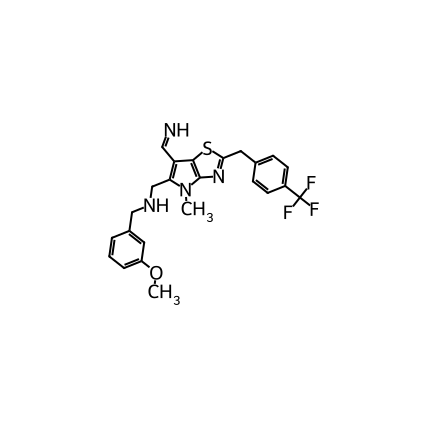 COc1cccc(CNCc2c(C=N)c3sc(Cc4ccc(C(F)(F)F)cc4)nc3n2C)c1